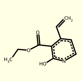 C=Cc1ccnc(O)c1C(=O)OCC